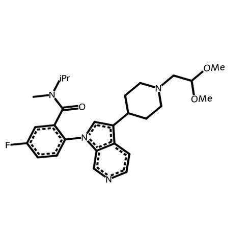 COC(CN1CCC(c2cn(-c3ccc(F)cc3C(=O)N(C)C(C)C)c3cnccc23)CC1)OC